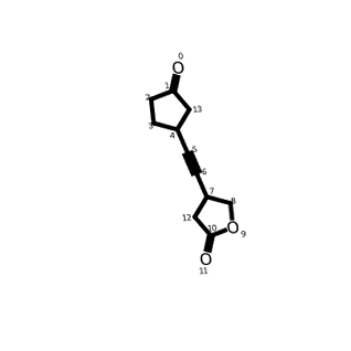 O=C1CCC(C#CC2COC(=O)C2)C1